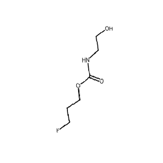 O=C(NCCO)OCCCF